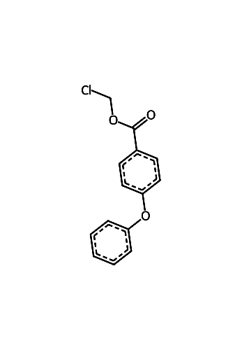 O=C(OCCl)c1ccc(Oc2ccccc2)cc1